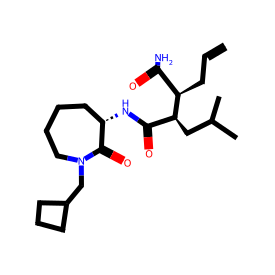 C=CC[C@H](C(N)=O)[C@@H](CC(C)C)C(=O)N[C@H]1CCCCN(CC2CCC2)C1=O